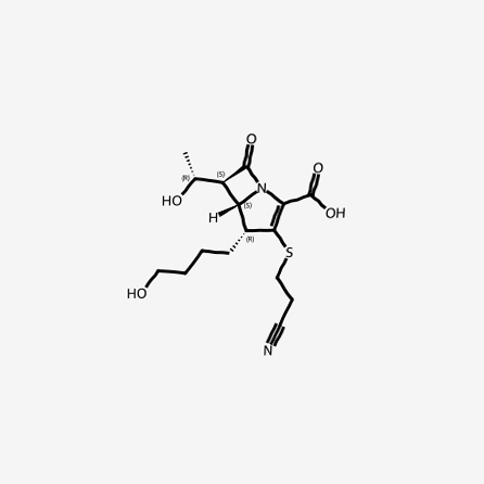 C[C@@H](O)[C@H]1C(=O)N2C(C(=O)O)=C(SCCC#N)[C@H](CCCCO)[C@H]12